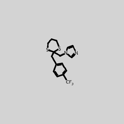 FC(F)(F)c1ccc(CC2(Cn3ccnc3)SCCCS2)cc1